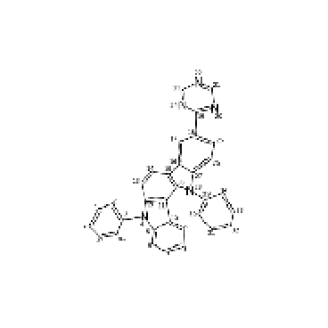 c1ccc(-n2c3ccccc3c3c2ccc2c4cc(-c5ncncn5)ccc4n(-c4ccccc4)c23)cc1